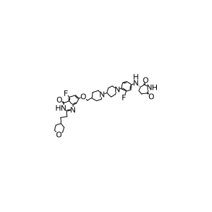 O=C1CC[C@H](Nc2ccc(N3CCC(N4CCC(COc5cc(F)c6c(=O)[nH]c(CCC7CCOCC7)nc6c5)CC4)CC3)c(F)c2)C(=O)N1